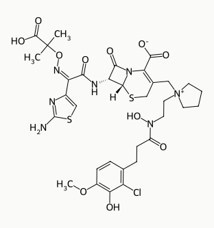 COc1ccc(CCC(=O)N(O)CC[N+]2(CC3=C(C(=O)[O-])N4C(=O)[C@@H](NC(=O)/C(=N\OC(C)(C)C(=O)O)c5csc(N)n5)[C@H]4SC3)CCCC2)c(Cl)c1O